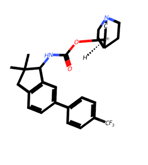 CC1(C)Cc2ccc(-c3ccc(C(F)(F)F)cc3)cc2C1NC(=O)O[C@H]1CN2CCC1CC2